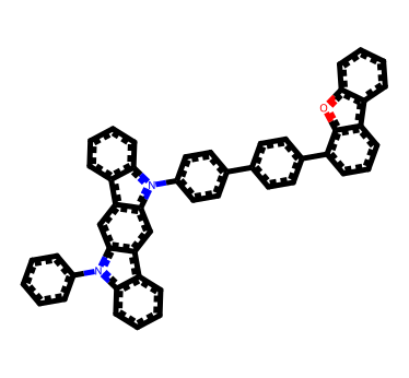 c1ccc(-n2c3ccccc3c3cc4c(cc32)c2ccccc2n4-c2ccc(-c3ccc(-c4cccc5c4oc4ccccc45)cc3)cc2)cc1